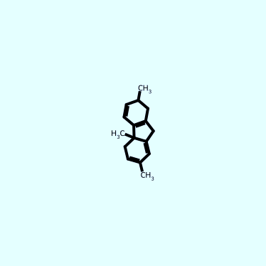 CC1=CCC2(C)C(=C1)CC1=C2C=CC(C)C1